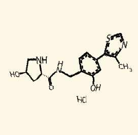 Cc1ncsc1-c1ccc(CNC(=O)[C@@H]2C[C@@H](O)CN2)c(O)c1.Cl